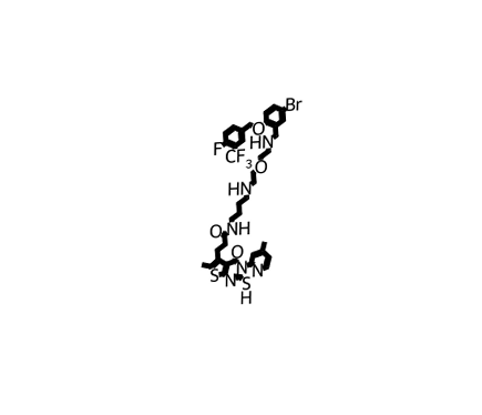 Cc1ccnc(-n2c(S)nc3sc(C)c(CCC(=O)NCCCCNCCOCCNCc4cc(Br)ccc4OCc4ccc(F)c(C(F)(F)F)c4)c3c2=O)c1